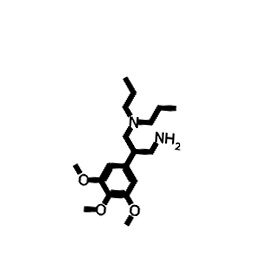 CCCN(CCC)CC(CN)c1cc(OC)c(OC)c(OC)c1